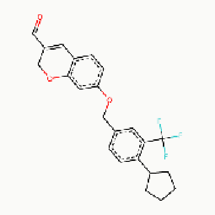 O=CC1=Cc2ccc(OCc3ccc(C4CCCC4)c(C(F)(F)F)c3)cc2OC1